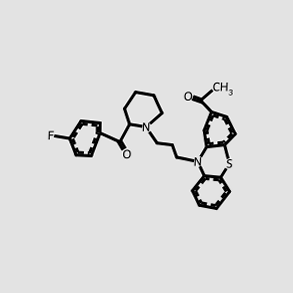 CC(=O)c1ccc2c(c1)N(CCCN1CCCCC1C(=O)c1ccc(F)cc1)c1ccccc1S2